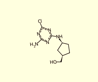 Nc1nc(Cl)nc(N[C@H]2CC[C@@H](CO)C2)n1